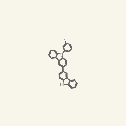 Fc1cccc(N2c3ccccc3C3C=C(c4ccc5[nH]c6ccccc6c5c4)C=CC32)c1